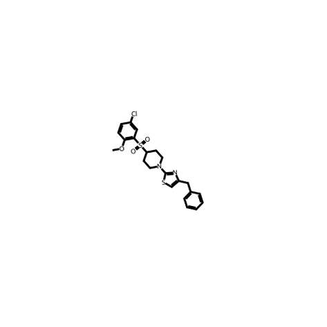 COc1ccc(Cl)cc1S(=O)(=O)C1CCN(c2nc(Cc3ccccc3)cs2)CC1